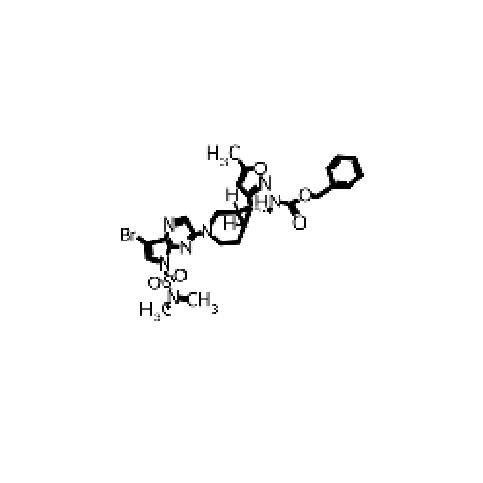 Cc1cc([C@@]2(CNC(=O)OCc3ccccc3)[C@@H]3CCN(c4cnc5c(Br)cn(S(=O)(=O)N(C)C)c5n4)C[C@@H]32)no1